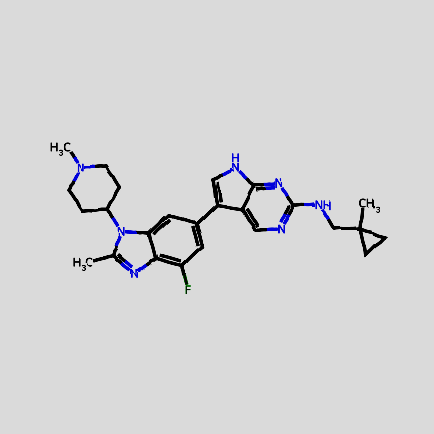 Cc1nc2c(F)cc(-c3c[nH]c4nc(NCC5(C)CC5)ncc34)cc2n1C1CCN(C)CC1